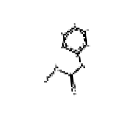 O=C(Cc1ccccc1)OI